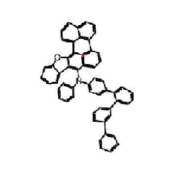 c1ccc(-c2cccc(-c3ccccc3-c3ccc(N(c4ccccc4)c4ccc(-c5cccc6cccc(-c7ccccc7)c56)c5oc6ccccc6c45)cc3)c2)cc1